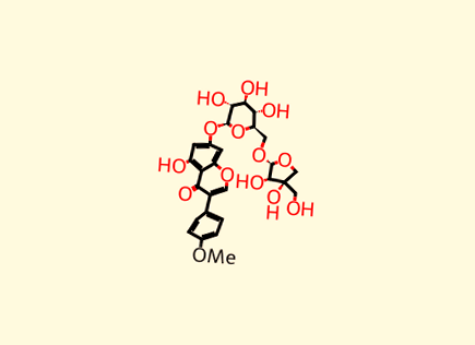 COc1ccc(-c2coc3cc(O[C@@H]4O[C@H](CO[C@@H]5OC[C@](O)(CO)[C@H]5O)[C@@H](O)[C@H](O)[C@H]4O)cc(O)c3c2=O)cc1